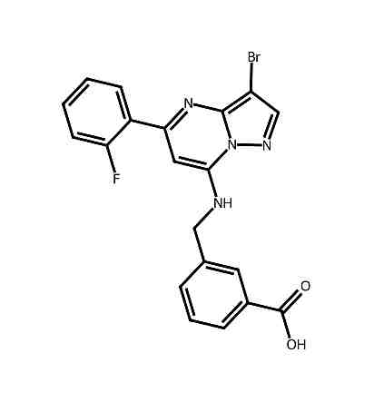 O=C(O)c1cccc(CNc2cc(-c3ccccc3F)nc3c(Br)cnn23)c1